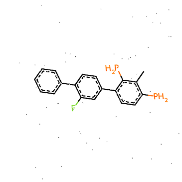 Cc1c(P)ccc(-c2ccc(-c3ccccc3)c(F)c2)c1P